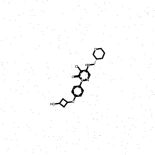 O=c1c(Cl)c(NC[C@H]2CCCOC2)cnn1-c1ccc(OC2CC(O)C2)cc1